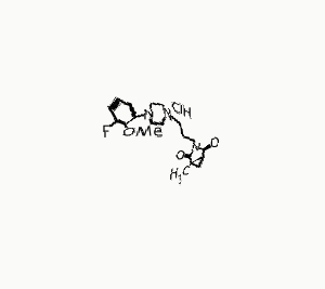 COc1c(F)cccc1N1CCN(CCCN2C(=O)C3CC3(C)C2=O)CC1.Cl